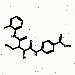 COC(=O)c1ccc(NC(=O)N(S)C(CC(C)C)C(=O)Nc2ccccc2C)cc1